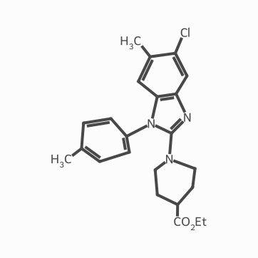 CCOC(=O)C1CCN(c2nc3cc(Cl)c(C)cc3n2-c2ccc(C)cc2)CC1